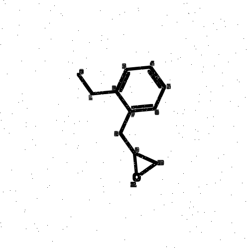 CCc1ccccc1CC1CO1